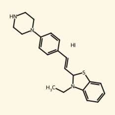 CCN1c2ccccc2SC1C=Cc1ccc(N2CCNCC2)cc1.I